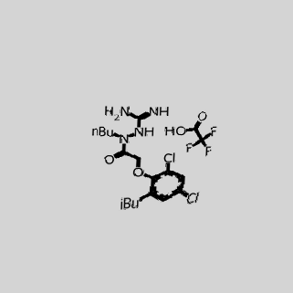 CCCCN(NC(=N)N)C(=O)COc1c(Cl)cc(Cl)cc1C(C)CC.O=C(O)C(F)(F)F